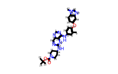 Cc1cc(Nc2ncnc3cnc(NC4CCN(C(=O)OC(C)(C)C)CC4)nc23)ccc1Oc1ccc2c(c1)ncn2C